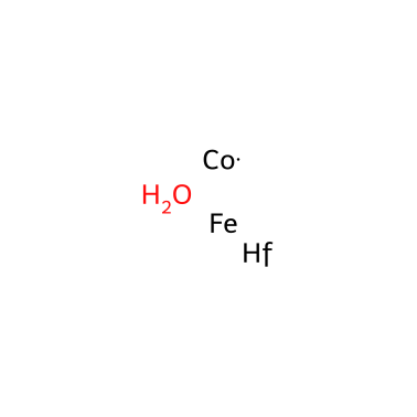 O.[Co].[Fe].[Hf]